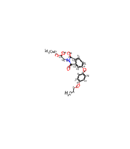 CCCOc1ccc(Oc2ccc3c(c2)C(=O)N(CC(=O)OCC)C3=O)cc1